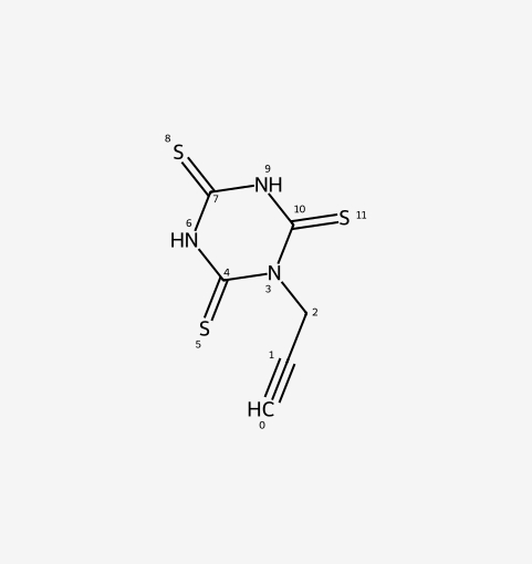 C#CCn1c(=S)[nH]c(=S)[nH]c1=S